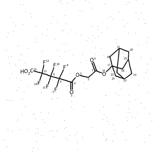 O=C(COC(=O)C(F)(F)C(F)(F)C(F)(F)C(=O)O)OC12CC3CC(CC(C3)C1)C2